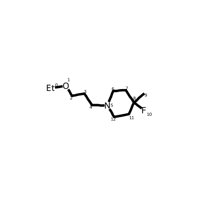 CCOCCCN1CCC(C)(F)CC1